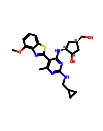 COc1cccc2sc(-c3c(C)nc(NCC4CC4)nc3N[C@@H]3C[C@H](CO)C[C@H]3O)nc12